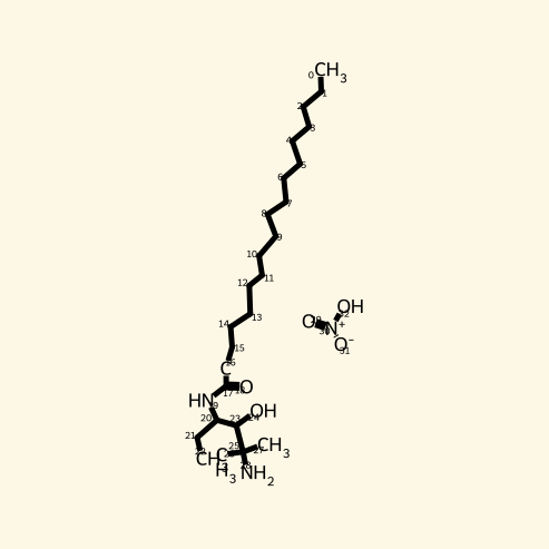 CCCCCCCCCCCCCCCCCC(=O)NC(CC)C(O)C(C)(C)N.O=[N+]([O-])O